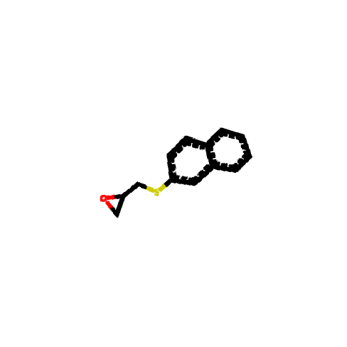 c1ccc2cc(SCC3CO3)ccc2c1